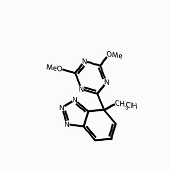 COc1nc(OC)nc(C2(C)C=CC=C3N=NN=C32)n1.Cl